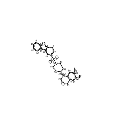 O=S(=O)(c1ccc2oc3ccccc3c2c1)N1CCC(N2COCc3cc(F)c(F)cc32)CC1